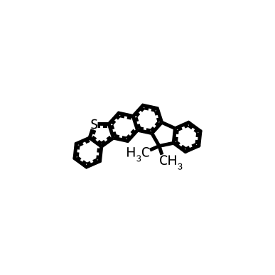 CC1(C)c2ccccc2-c2ccc3cc4sc5ccccc5c4cc3c21